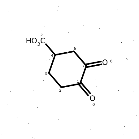 O=C1CCC(C(=O)O)CC1=O